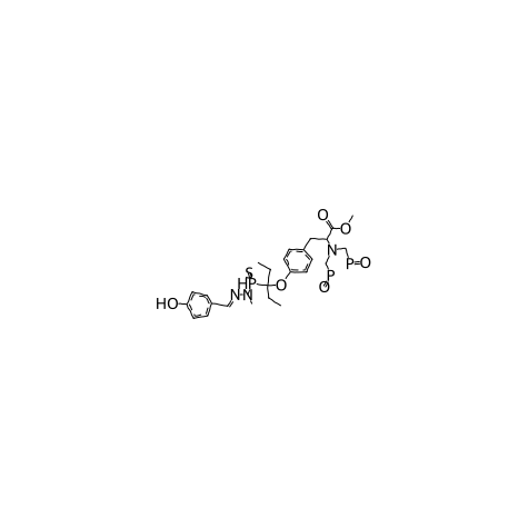 CCC(CC)(Oc1ccc(CC(C(=O)OC)N(CP=O)CP=O)cc1)[PH](=S)N(C)/N=C/c1ccc(O)cc1